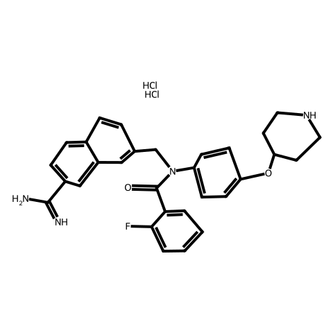 Cl.Cl.N=C(N)c1ccc2ccc(CN(C(=O)c3ccccc3F)c3ccc(OC4CCNCC4)cc3)cc2c1